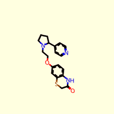 O=C1CSc2cc(OCCN3CCCC3c3ccncc3)ccc2N1